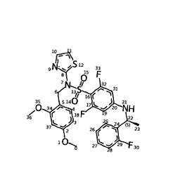 COc1ccc(CN(c2nccs2)S(=O)(=O)c2c(F)cc(N[C@@H](C)c3ccccc3F)cc2F)c(OC)c1